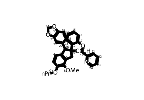 CCCOc1ccc2c(c1OC)CC(C(=O)O)(c1ccccc1OCc1ccccn1)C2c1ccc2c(c1)OCO2